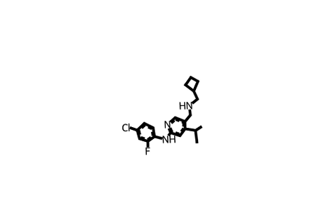 CC(C)c1cc(Nc2ccc(Cl)cc2F)ncc1CNCC1CCC1